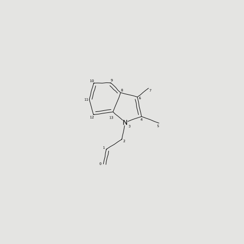 C=CCn1c(C)c(C)c2ccccc21